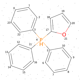 c1ccc([PH](c2ccccc2)(c2ccccc2)c2ccco2)cc1